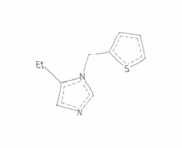 CCc1cncn1Cc1cccs1